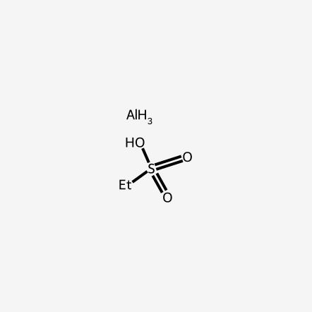 CCS(=O)(=O)O.[AlH3]